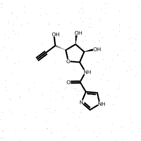 C#CC(O)[C@H]1OC(NC(=O)c2c[nH]cn2)[C@H](O)[C@@H]1O